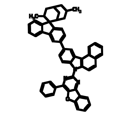 CC1CC2CC(C)C3(c4ccccc4-c4cc(-c5ccc6c(c5)c5c7ccccc7ccc5n6-c5nc(-c6ccccc6)c6oc7ccccc7c6n5)ccc43)C(C1)C2